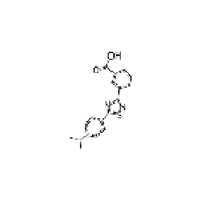 CC(C)c1ccc(-c2nc(-c3cccc(C(=O)O)c3)ns2)cc1